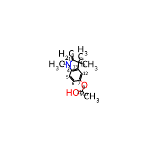 C=C1N(C)c2ccc(OC(C)O)cc2C1(C)C